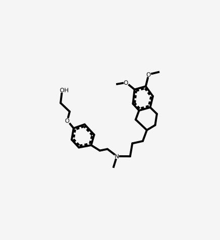 COc1cc2c(cc1OC)CC(CCCN(C)CCc1ccc(OCCO)cc1)CC2